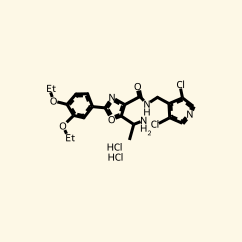 CCOc1ccc(-c2nc(C(=O)NCc3c(Cl)cncc3Cl)c(C(C)N)o2)cc1OCC.Cl.Cl